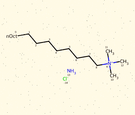 CCCCCCCCCCCCCCCC[N+](C)(C)C.N.[Cl-]